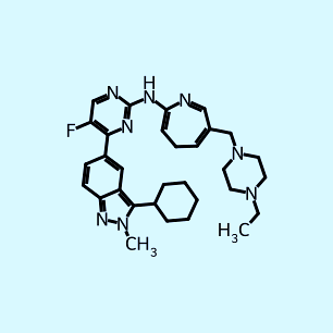 CCN1CCN(CC2=CCC=C(Nc3ncc(F)c(-c4ccc5nn(C)c(C6CCCCC6)c5c4)n3)N=C2)CC1